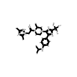 Cc1nc(C)n(CC(=O)N2CCN(c3sc(C(F)(F)F)nc3-c3ccc(OC(C)C)cc3)CC2C)n1